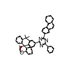 CC1(C)c2ccccc2C2(c3ccccc3Oc3ccccc32)c2ccc(-c3nc(-c4ccccc4)nc(-c4ccc5c(ccc6ccccc65)c4)n3)cc21